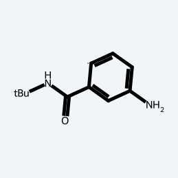 CC(C)(C)NC(=O)c1[c]ccc(N)c1